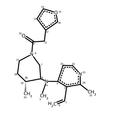 C=Cc1c(N(C)C2CN(C(=O)Cc3ccoc3)CC[C@H]2C)ccnc1C